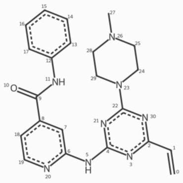 C=Cc1nc(Nc2cc(C(=O)Nc3ccccc3)ccn2)nc(N2CCN(C)CC2)n1